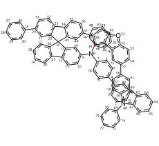 c1ccc(-c2ccc(N(c3ccc4c(c3)C3(c5ccccc5-4)c4cc(-c5ccccc5)ccc4-c4ccc(-c5ccccc5)cc43)c3cccc4oc5ccc(-c6ccc7c(c6)c6ccccc6n7-c6ccccc6)cc5c34)cc2)cc1